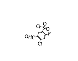 O=Cc1cc(S(=O)(=O)Cl)c(F)cc1Cl